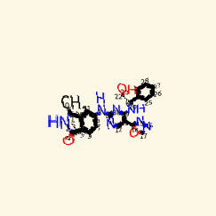 CC1NC(=O)c2ccc(Nc3ncc(-c4nnco4)c(N[C@H](CO)c4ccccc4)n3)cc21